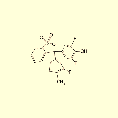 Cc1ccc(C2(c3cc(F)c(O)c(F)c3)OS(=O)(=O)c3ccccc32)cc1F